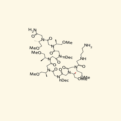 CCCCCCCCCCN(CC(=O)N(CC(=O)N(CC(N)=O)[C@@H](C)COC)[C@@H](C)COC)C(=O)CN(C(=O)CN(C(=O)CN(CCCCCCCCCC)C(=O)CN(C(=O)CN(C(=O)CNCCCN)[C@@H](C)COC)[C@@H](C)COC)[C@@H](C)COC)[C@@H](C)COC